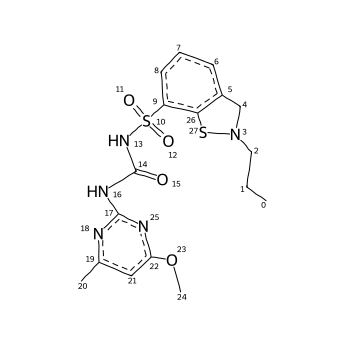 CCCN1Cc2cccc(S(=O)(=O)NC(=O)Nc3nc(C)cc(OC)n3)c2S1